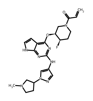 C=CC(=O)N1CC[C@@H](F)[C@@H](Oc2nc(Nc3cnn(C4CCN(C)C4)c3)nc3[nH]ccc23)C1